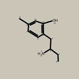 CCC(N)Cc1ccc(C)cc1O